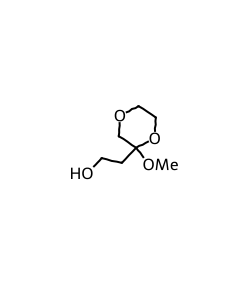 COC1(CCO)COCCO1